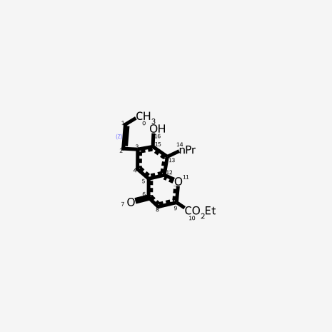 C/C=C\c1cc2c(=O)cc(C(=O)OCC)oc2c(CCC)c1O